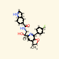 C[C@@H]1COc2c1cc([C@@](O)(CNC(=O)c1ccc3[nH]ccc3c1)C(F)(F)F)nc2-c1ccc(F)cc1